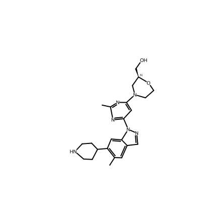 Cc1nc(N2CCO[C@H](CO)C2)cc(-n2ncc3cc(C)c(C4CCNCC4)cc32)n1